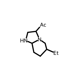 CCC1CCC2NCC(C(C)=O)N2C1